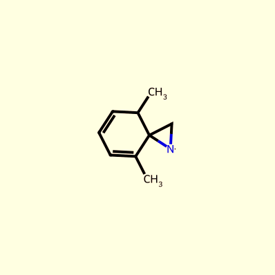 CC1=CC=CC(C)C12C[N]2